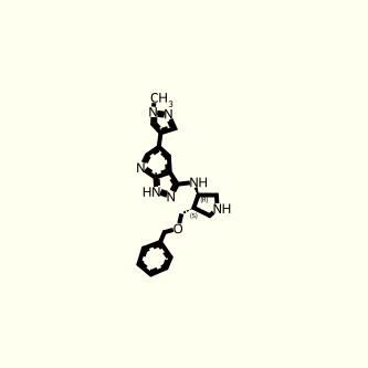 Cn1cc(-c2cnc3[nH]nc(N[C@H]4CNC[C@@H]4COCc4ccccc4)c3c2)cn1